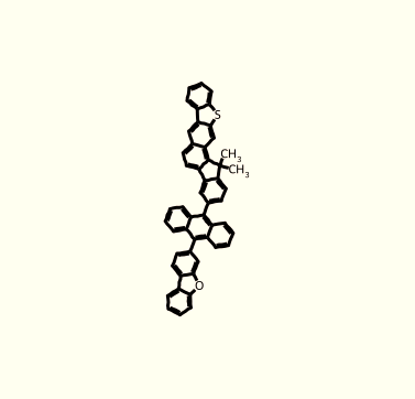 CC1(C)c2ccc(-c3c4ccccc4c(-c4ccc5c(c4)oc4ccccc45)c4ccccc34)cc2-c2ccc3cc4c(cc3c21)sc1ccccc14